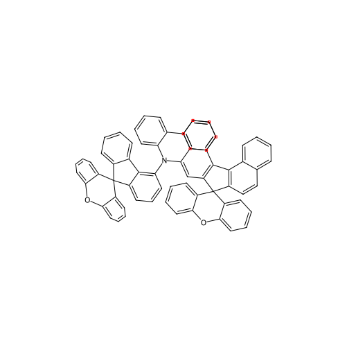 c1ccc(-c2ccccc2N(c2cccc3c2-c2ccccc2C32c3ccccc3Oc3ccccc32)c2cc3c(c4ccccc24)-c2c(ccc4ccccc24)C32c3ccccc3Oc3ccccc32)cc1